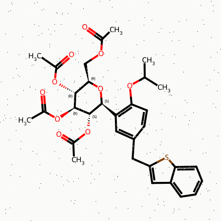 CC(=O)OC[C@H]1O[C@@H](c2cc(Cc3cc4ccccc4s3)ccc2OC(C)C)[C@H](OC(C)=O)[C@@H](OC(C)=O)[C@@H]1OC(C)=O